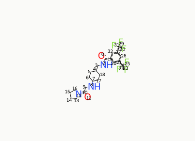 O=C(NCC1CCC(NCC(=O)N2CCCC2)CC1)c1cc(C(F)(F)F)cc(C(F)(F)F)c1